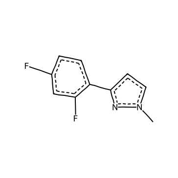 Cn1ccc(-c2ccc(F)cc2F)n1